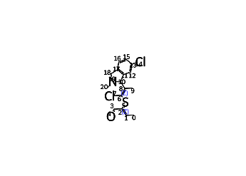 C/C=C(/C=O)S/C(Cl)=C(\C)C1c2cc(Cl)ccc2CN1C